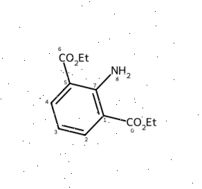 CCOC(=O)c1cccc(C(=O)OCC)c1N